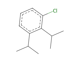 CC(C)c1cccc(Cl)c1C(C)C